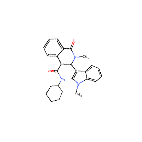 CN1C(=O)c2ccccc2C(C(=O)NC2CCCCC2)C1c1cn(C)c2ccccc12